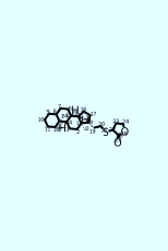 C[C@]12CC[C@H]3[C@@H](CCC4CCCC[C@@]43C)[C@@H]1CC[C@@H]2CCSC1CCOC1=O